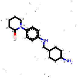 NC1CCC(CNc2ccc(N3CCCCC3=O)cc2)CC1